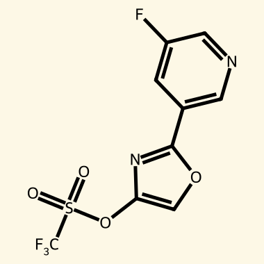 O=S(=O)(Oc1coc(-c2cncc(F)c2)n1)C(F)(F)F